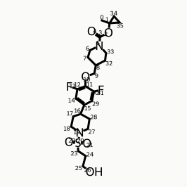 CC1(OC(=O)N2CCC(COc3c(F)cc(C4CCN(S(=O)(=O)CCCO)CC4)cc3F)CC2)CC1